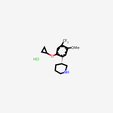 COc1cc([C@H]2CCCNC2)c(OC2CC2)cc1C(F)(F)F.Cl